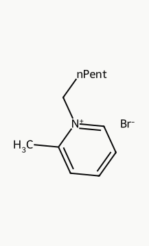 CCCCCC[n+]1ccccc1C.[Br-]